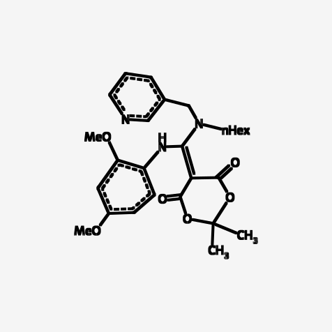 CCCCCCN(Cc1cccnc1)C(Nc1ccc(OC)cc1OC)=C1C(=O)OC(C)(C)OC1=O